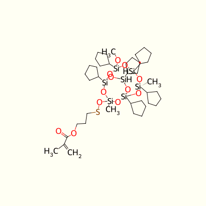 C=C(C)C(=O)OCCCSO[Si]1(C)O[Si]2(C3CCCC3)O[SiH](C3CCCC3)O[Si](C3CCCC3)(O1)O[Si@](C)(C1CCCC1)O[SiH](C1CCCC1)O[Si](OC)(C1CCCC1)O2